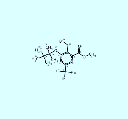 COC(=O)c1cc(C(F)(F)F)cc(O[Si](C)(C)C(C)(C)C)c1CBr